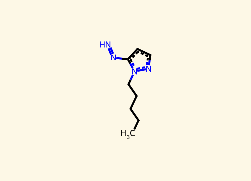 CCCCCn1nccc1N=N